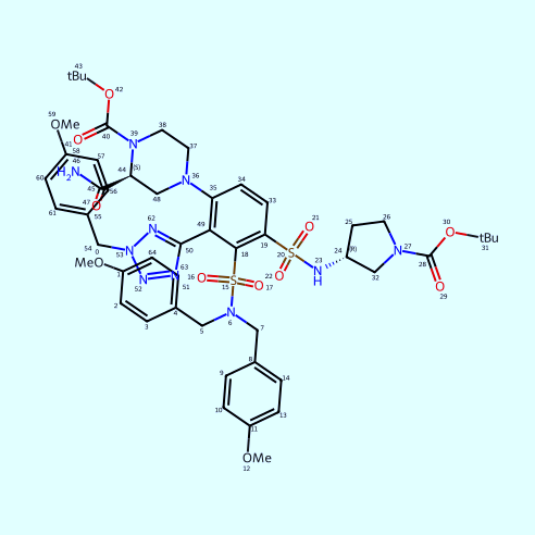 COc1ccc(CN(Cc2ccc(OC)cc2)S(=O)(=O)c2c(S(=O)(=O)N[C@@H]3CCN(C(=O)OC(C)(C)C)C3)ccc(N3CCN(C(=O)OC(C)(C)C)[C@H](C(N)=O)C3)c2-c2nnn(Cc3ccc(OC)cc3)n2)cc1